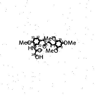 COc1cc(OC)c(/C=C/[S+]([O-])Cc2ccc(OC)c(NC(=O)CO)c2)c(OC)c1